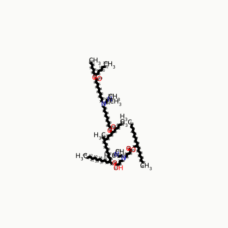 CCCCCCCCCCC(CCCCCCCC)COC(=O)CCCN(CCCC(O)OCC(CCCCCCCCCC)CCCCCCCCC(CC)CCCC(CCCCCC)OC(=O)CCCCCCCCCN(CCCCCCCCCC(=O)OC(CCCCCC)CCCCCC)CCN(C)C)CCN(C)C